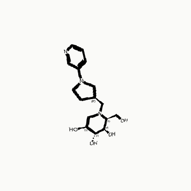 OC[C@H]1[C@@H](O)[C@H](O)[C@@H](O)CN1C[C@H]1CCN(c2cccnc2)C1